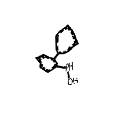 OPc1ccccc1-c1ccccc1